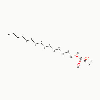 CCCCCCCCCCCCCCCOC(=O)[O-].[Li+]